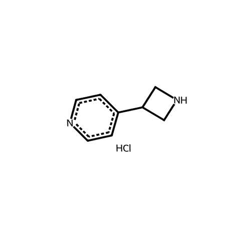 Cl.c1cc(C2CNC2)ccn1